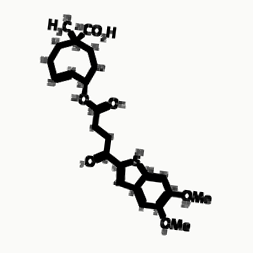 COc1cc2cc(C(=O)CCC(=O)O[C@H]3/C=C/CC[C@@](C)(C(=O)O)CC3)sc2cc1OC